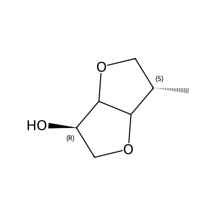 C[C@H]1COC2C1OC[C@H]2O